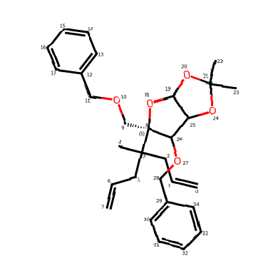 C=CCC(C)(CC=C)[C@@]1(COCc2ccccc2)OC2OC(C)(C)OC2C1OCc1ccccc1